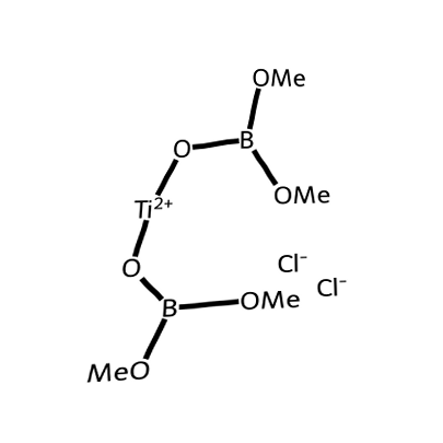 COB(OC)[O][Ti+2][O]B(OC)OC.[Cl-].[Cl-]